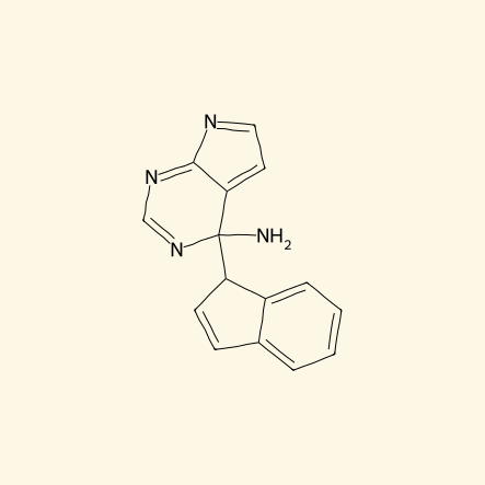 NC1(C2C=Cc3ccccc32)N=CN=C2N=CC=C21